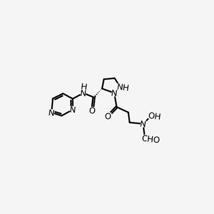 O=CN(O)CCC(=O)N1NCC[C@H]1C(=O)Nc1ccncn1